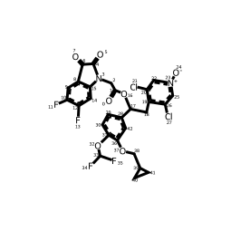 O=C(CN1C(=O)C(=O)c2cc(F)c(F)cc21)OC(Cc1c(Cl)c[n+]([O-])cc1Cl)c1ccc(OC(F)F)c(OCC2CC2)c1